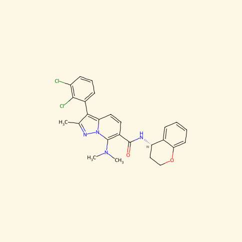 Cc1nn2c(N(C)C)c(C(=O)N[C@H]3CCOc4ccccc43)ccc2c1-c1cccc(Cl)c1Cl